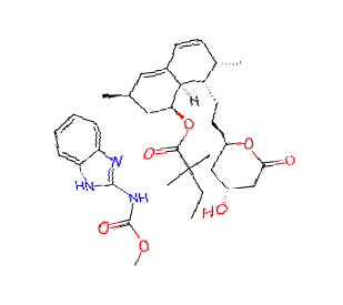 CCC(C)(C)C(=O)O[C@H]1C[C@@H](C)C=C2C=C[C@H](C)[C@H](CC[C@@H]3C[C@@H](O)CC(=O)O3)[C@H]21.COC(=O)Nc1nc2ccccc2[nH]1